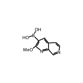 COc1nc2cnccc2cc1B(O)O